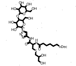 CCCCCCCCCCCCCCCC(=O)NC(CSCC(O)CO)C(=O)Nc1cn([C@@H]2OC(CO)C(OC3OC(CO)C(O)C(O)C3O)C(O)C2O)nn1